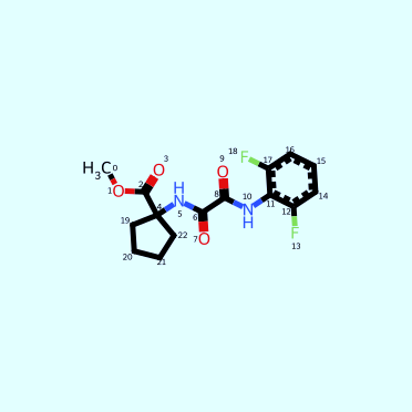 COC(=O)C1(NC(=O)C(=O)Nc2c(F)cccc2F)CCCC1